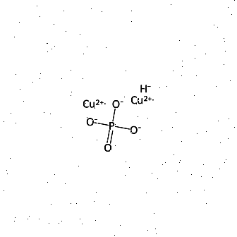 O=P([O-])([O-])[O-].[Cu+2].[Cu+2].[H-]